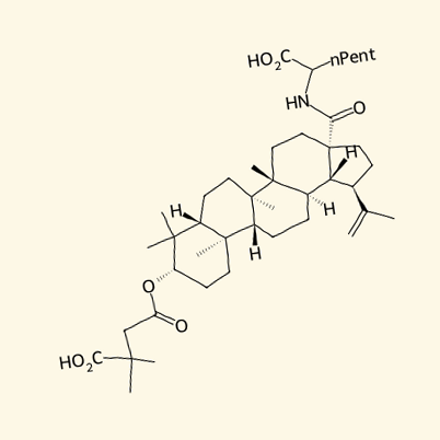 C=C(C)[C@@H]1CC[C@]2(C(=O)NC(CCCCC)C(=O)O)CC[C@]3(C)[C@H](CC[C@@H]4[C@@]5(C)CC[C@H](OC(=O)CC(C)(C)C(=O)O)C(C)(C)[C@@H]5CC[C@]43C)[C@@H]12